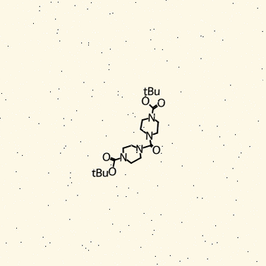 CC(C)(C)OC(=O)N1CCN(C(=O)N2CCN(C(=O)OC(C)(C)C)CC2)CC1